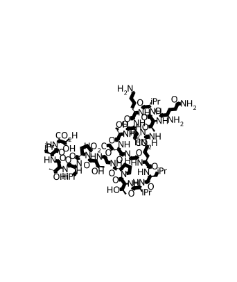 CC(C)C[C@H](NC(=O)[C@H](CCCNC(=N)N)NC(=O)CNC(=O)[C@H](CCC(=O)O)NC(=O)[C@H](CO)NC(=O)[C@H](CCC(=O)O)NC(=O)[C@H](CCCCN)NC(=O)[C@@H](NC(=O)[C@@H](NC(=O)[C@@H](N)CCC(N)=O)[C@@H](C)O)C(C)C)C(=O)N[C@H](C(=O)N[C@H](C(=O)N1CCC[C@H]1C(=O)NCC(=O)N[C@H](C(=O)N1CCC[C@H]1C(=O)N[C@@H](CC(C)C)C(=O)N[C@H](C(=O)N[C@@H](CC(C)C)C(=O)N[C@H](C(=O)O)[C@@H](C)O)[C@@H](C)O)[C@@H](C)O)[C@@H](C)O)C(C)C